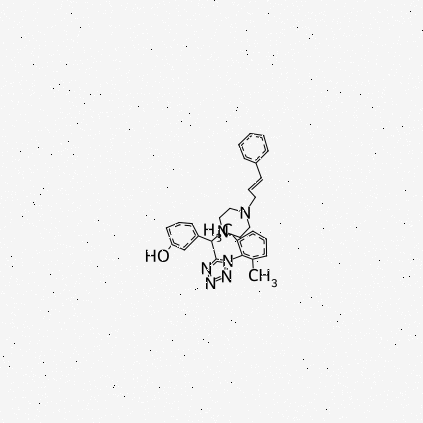 Cc1cccc(C)c1-n1nnnc1C(c1cccc(O)c1)N1CCN(C/C=C/c2ccccc2)CC1